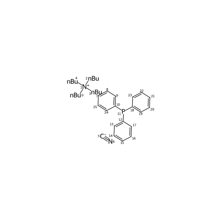 CCCC[N+](CCCC)(CCCC)CCCC.[C-]#N.c1ccc(P(c2ccccc2)c2ccccc2)cc1